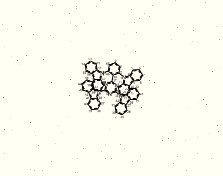 c1cc(-n2c3ccccc3c3ccccc32)c(-c2nc(-n3c4ccccc4c4ccccc43)nc(-n3c4ccccc4c4ccccc43)n2)c(-n2c3ccccc3c3ccccc32)c1